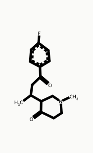 CC(CC(=O)c1ccc(F)cc1)C1CN(C)CCC1=O